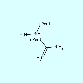 C=C(C)CCCCC.CCCCCNN